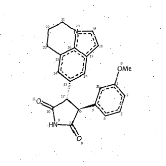 COc1cccc([C@H]2C(=O)NC(=O)[C@@H]2c2cc3c4c(ccn4CCC3)c2)c1